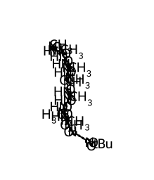 Cn1cc(NC(=O)c2nc(NC(=O)CCNC(=O)c3cc(NC(=O)c4nccn4C)cn3C)cn2C)cc1C(=O)NCCCC(=O)Nc1cn(C)c(C(=O)NCCC(=O)Nc2cc(C(=O)Nc3cn(C)c(C(=O)NCCC(=O)N4CCC(C#CC#CC5CCN(C(=O)OC(C)(C)C)CC5)CC4)n3)n(C)c2)n1